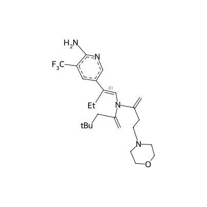 C=C(CCN1CCOCC1)N(/C=C(\CC)c1cnc(N)c(C(F)(F)F)c1)C(=C)CC(C)(C)C